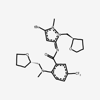 CN(C[C@@H]1CCCO1)c1ccc(C(F)(F)F)cc1C(=O)N=c1cc(C(C)(C)C)n(C)n1C[C@H]1CCCO1